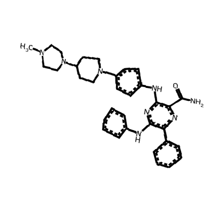 CN1CCN(C2CCN(c3ccc(Nc4nc(Nc5ccccc5)c(-c5ccccc5)nc4C(N)=O)cc3)CC2)CC1